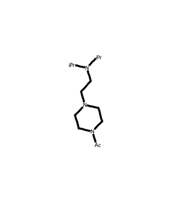 CC(=O)N1CCN(CCN(C(C)C)C(C)C)CC1